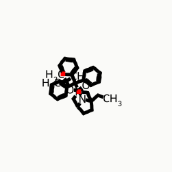 CCC12CCC(CN(C(c3ccccc3)(c3ccccc3)c3ccccc3)C1)N2C(=O)OC(C)(C)C